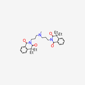 CCC1(CC)C(=O)N(CCCN(C)CCCN2C(=O)c3ccccc3C(CC)(CC)C2=O)C(=O)c2ccccc21